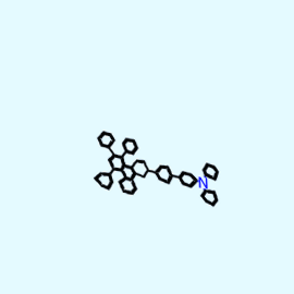 C1=CC(c2ccc(-c3ccc(N(c4ccccc4)c4ccccc4)cc3)cc2)Cc2c1c1c(-c3ccccc3)c(-c3ccccc3)cc(-c3ccccc3)c1c1ccccc21